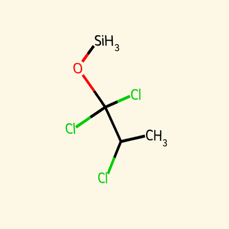 CC(Cl)C(Cl)(Cl)O[SiH3]